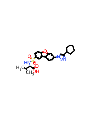 CC(C)[C@@H](NS(=O)(=O)c1ccc2oc3cc(-n4cc(C5CCCCC5)nn4)ccc3c2c1)C(=O)O